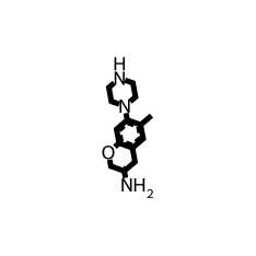 Cc1cc2c(cc1N1CCNCC1)OC[C](N)C2